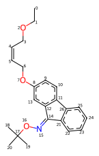 CCOC/C=C\COc1ccc2c(c1)/C(=N\OC(C)(C)C)c1ccccc1-2